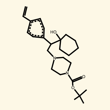 C=Cc1ccc(C(CN2CCN(C(=O)OC(C)(C)C)CC2)C2(O)CCCCC2)cc1